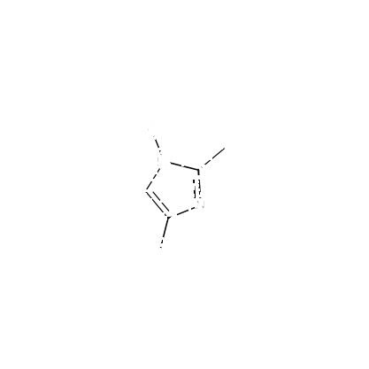 [CH2-][NH+]1C=C(C)N=C1C